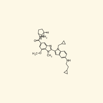 COc1cc(C(=O)N2C[C@H]3CCC2[C@H]3N)cc2nc(-c3cc4cc(NCCC5CC5)ccc4n3CC3CC3)n(C)c12